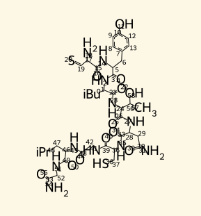 CCC(C)C(NC(=O)C(Cc1ccc(O)cc1)NC(=O)C(N)C=S)C(=O)NC(C(=O)NC(CC(N)=O)C(=O)NC(CS)C(=O)NCC(=O)NC(CC(C)C)C(=O)NCC(N)=O)C(C)O